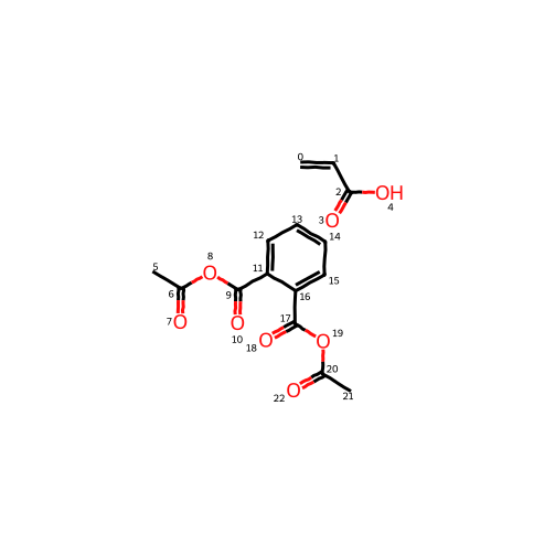 C=CC(=O)O.CC(=O)OC(=O)c1ccccc1C(=O)OC(C)=O